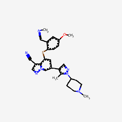 C/N=C\c1cc(OC)ccc1Sc1cc(-c2cnn(C3CCN(C)CC3)c2C)cn2ncc(C#N)c12